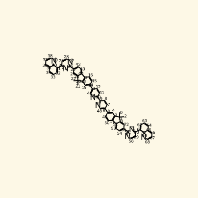 CC1(C)c2cc(-c3ccc(-c4ccc(-c5ccc6c(c5)C(C)(C)c5cc(-c7nccc(-c8cccc9cccnc89)n7)ccc5-6)cn4)nc3)ccc2-c2ccc(-c3nccc(-c4cccc5cccnc45)n3)cc21